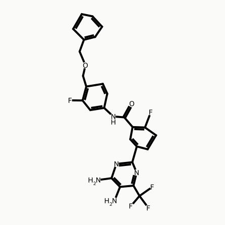 Nc1nc(-c2ccc(F)c(C(=O)Nc3ccc(COCc4ccccc4)c(F)c3)c2)nc(C(F)(F)F)c1N